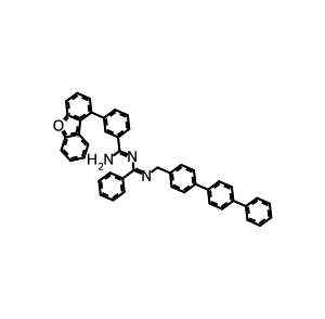 N/C(=N\C(=N/Cc1ccc(-c2ccc(-c3ccccc3)cc2)cc1)c1ccccc1)c1cccc(-c2cccc3oc4ccccc4c23)c1